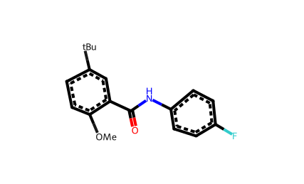 COc1ccc(C(C)(C)C)cc1C(=O)Nc1ccc(F)cc1